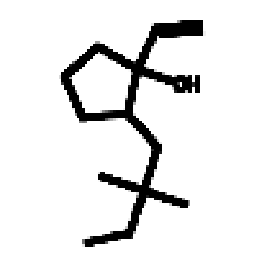 C=CC1(O)CCCC1CC(C)(C)CC